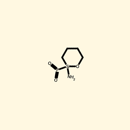 N[Si]1(P(=O)=O)CCCCO1